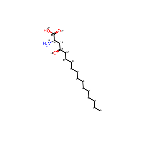 CCCCCCCCCCCCCC(=O)C[C@H](N)C(=O)O